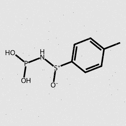 Cc1ccc([S+]([O-])NP(O)O)cc1